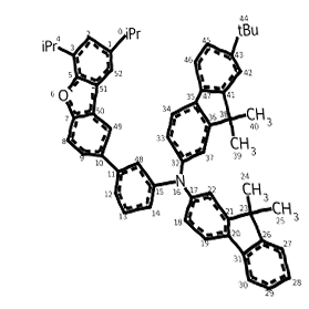 CC(C)c1cc(C(C)C)c2oc3ccc(-c4cccc(N(c5ccc6c(c5)C(C)(C)c5ccccc5-6)c5ccc6c(c5)C(C)(C)c5cc(C(C)(C)C)ccc5-6)c4)cc3c2c1